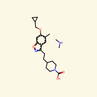 CNC.Cc1cc2c(CCC3CCN(C(=O)O)CC3)noc2cc1OCC1CC1